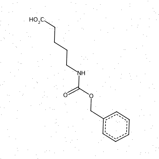 O=C(O)CCCCNC(=O)OCc1ccccc1